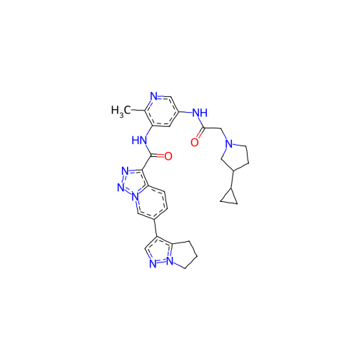 Cc1ncc(NC(=O)CN2CCC(C3CC3)C2)cc1NC(=O)c1nnn2cc(-c3cnn4c3CCC4)ccc12